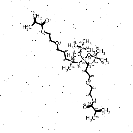 C=C(C)C(=O)OCCOCCC[Si](C)(C)O[Si](CCCOCCOC(=O)C(=C)C)(O[Si](C)(C)C)O[Si](C)(C)C